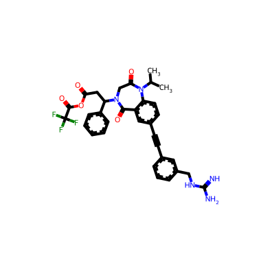 CC(C)N1C(=O)CN(C(CC(=O)OC(=O)C(F)(F)F)c2ccccc2)C(=O)c2cc(C#Cc3cccc(CNC(=N)N)c3)ccc21